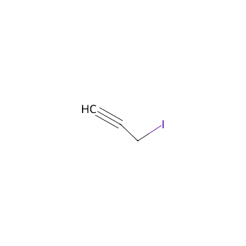 C#CCI